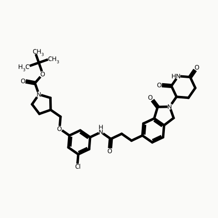 CC(C)(C)OC(=O)N1CCC(COc2cc(Cl)cc(NC(=O)CCc3ccc4c(c3)C(=O)N(C3CCC(=O)NC3=O)C4)c2)C1